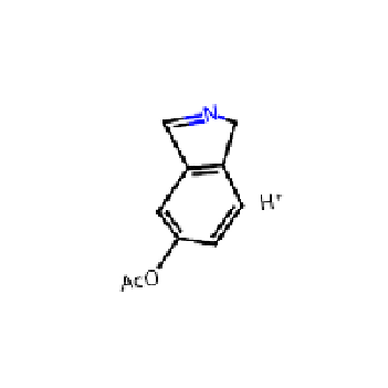 CC(=O)Oc1ccc2c(c1)C=NC2.[H+]